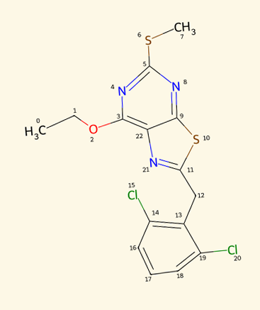 CCOc1nc(SC)nc2sc(Cc3c(Cl)cccc3Cl)nc12